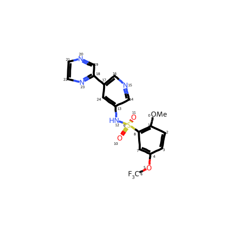 COc1ccc(OC(F)(F)F)cc1S(=O)(=O)Nc1cncc(-c2cnccn2)c1